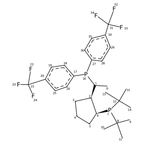 CC([C@@H]1CCC[C@@H]1P(C(C)(C)C)C(C)(C)C)P(c1ccc(C(F)(F)F)cc1)c1ccc(C(F)(F)F)cc1